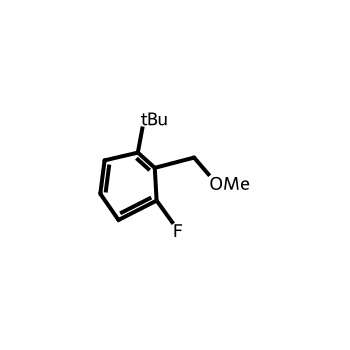 COCc1c(F)cccc1C(C)(C)C